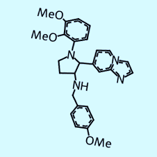 COc1ccc(CNC2CCN(c3cccc(OC)c3OC)C2c2ccn3ccnc3c2)cc1